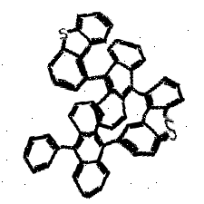 c1ccc(-c2c3ccccc3c(-c3ccc4sc5cccc(-c6c7ccccc7c(-c7cccc8sc9ccccc9c78)c7ccccc67)c5c4c3)c3ccccc23)cc1